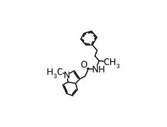 CC(CCc1ccccc1)NC(=O)CC1=CN(C)C2C=CC=CC12